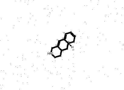 C1=CC[C@@H]2CC3CCNCC3=CC2=C1